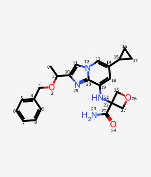 CC(OCc1ccccc1)c1cn2cc(C3CC3)cc(NC3(C(N)=O)COC3)c2n1